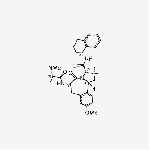 CN[C@@H](C)C(=O)N[C@H]1Cc2cc(OC)ccc2[C@H]2CC(C)(C)[C@H](C(=O)N[C@@H]3CCCc4ccccc43)N2C1=O